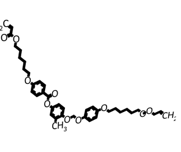 C=CCOOCCCCCCOc1ccc(OCOc2ccc(OC(=O)c3ccc(OCCCCCCOC(=O)C=C)cc3)cc2C)cc1